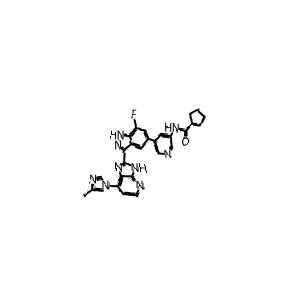 Cc1cn(-c2ccnc3[nH]c(-c4n[nH]c5c(F)cc(-c6cncc(NC(=O)C7CCCC7)c6)cc45)nc23)cn1